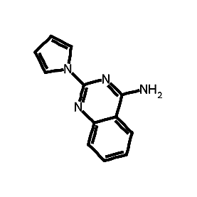 Nc1nc(-n2cccc2)nc2ccccc12